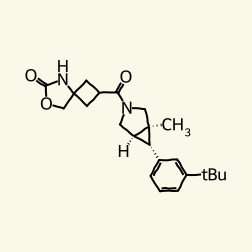 CC(C)(C)c1cccc([C@@H]2[C@H]3CN(C(=O)C4CC5(COC(=O)N5)C4)C[C@]32C)c1